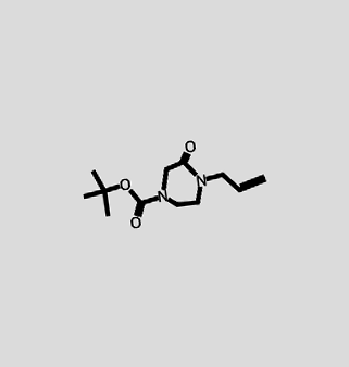 C=CCN1CCN(C(=O)OC(C)(C)C)CC1=O